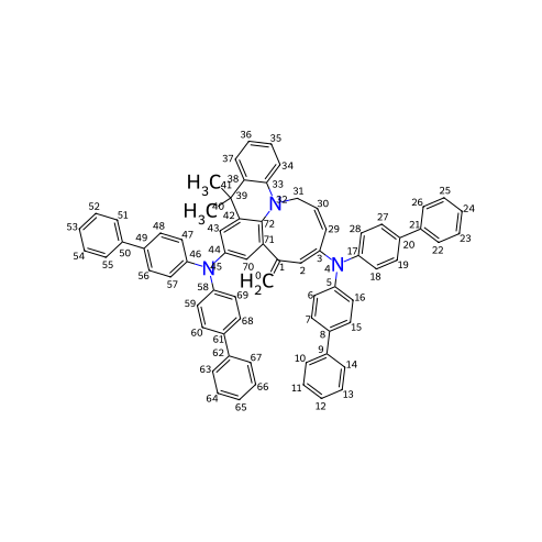 C=C1/C=C(N(c2ccc(-c3ccccc3)cc2)c2ccc(-c3ccccc3)cc2)\C=C/CN2c3ccccc3C(C)(C)c3cc(N(c4ccc(-c5ccccc5)cc4)c4ccc(-c5ccccc5)cc4)cc1c32